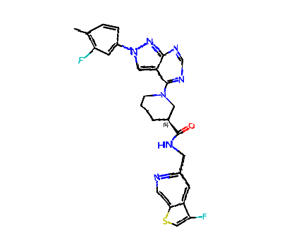 Cc1ccc(-n2cc3c(N4CCC[C@H](C(=O)NCc5cc6c(F)csc6cn5)C4)ncnc3n2)cc1F